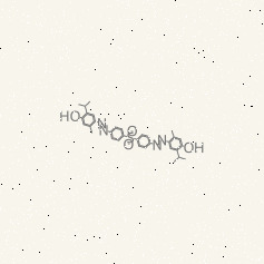 Cc1cc(O)c(C(C)C)cc1N=Nc1ccc(S(=O)(=O)c2ccc(N=Nc3cc(C(C)C)c(O)cc3C)cc2)cc1